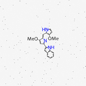 COC1=CC(c2cc3ccccc3[nH]2)=N/C1=C\c1[nH]ccc1OC